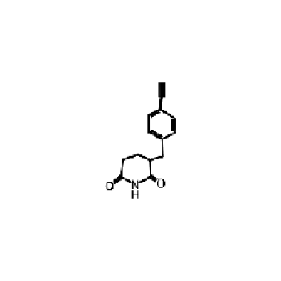 C#Cc1ccc(CC2CCC(=O)NC2=O)cc1